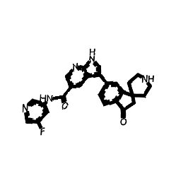 O=C(Nc1cncc(F)c1)c1cnc2[nH]cc(-c3ccc4c(c3)C3(CCNCC3)CC4=O)c2c1